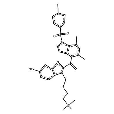 C=C(c1c(C)cc(C)c2c1ccn2S(=O)(=O)c1ccc(C)cc1)c1nc2cc(C#N)ccc2n1COCC[Si](C)(C)C